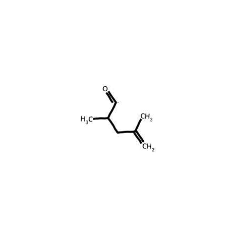 C=C(C)CC(C)[C]=O